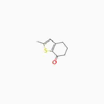 Cc1cc2c(s1)C(=O)CCC2